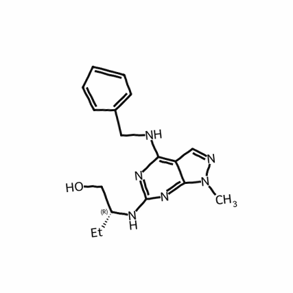 CC[C@H](CO)Nc1nc(NCc2ccccc2)c2cnn(C)c2n1